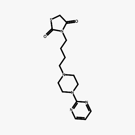 O=C1CSC(=O)N1CCCCN1CCN(c2ncccn2)CC1